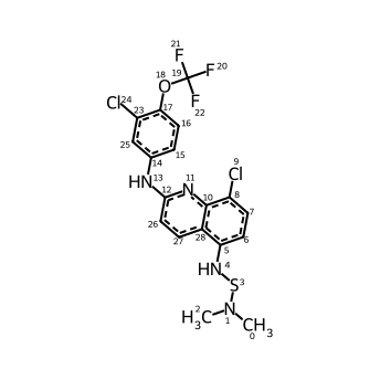 CN(C)SNc1ccc(Cl)c2nc(Nc3ccc(OC(F)(F)F)c(Cl)c3)ccc12